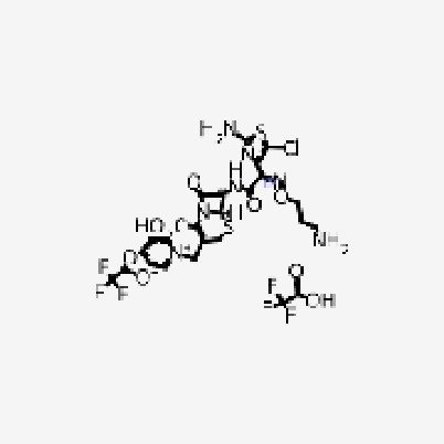 NCCCO/N=C(\C(=O)N[C@@H]1C(=O)N2C(C(=O)O)=C(C[n+]3ccccc3)CS[C@@H]12)c1nc(N)sc1Cl.O=C(O)C(F)(F)F.O=C([O-])C(F)(F)F